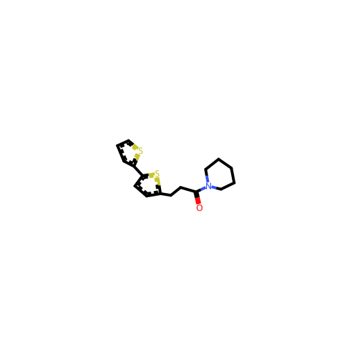 O=C(CCc1ccc(-c2cccs2)s1)N1CCCCC1